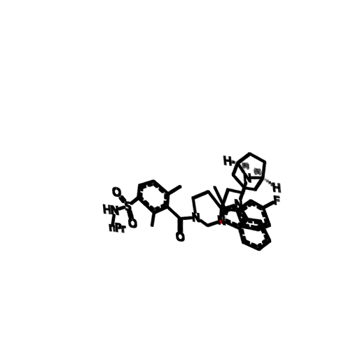 CCCNS(=O)(=O)c1ccc(C)c(C(=O)N2CCC(CCN3[C@@H]4CC[C@H]3CC(n3c(C)nc5ccccc53)C4)(c3cccc(F)c3)CC2)c1C